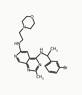 Cc1nc(NC(C)c2cccc(Br)c2)c2cc(NCCN3CCOCC3)ncc2n1